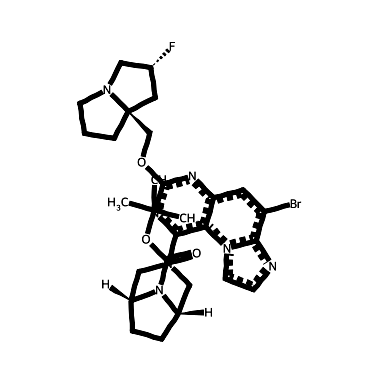 CC(C)(C)OC(=O)N1[C@@H]2CC[C@H]1CN(c1nc(OC[C@@]34CCCN3C[C@H](F)C4)nc3cc(Br)c4nccn4c13)C2